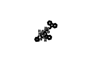 CC(Cc1c[nH]c2ccccc12)(NC(=O)OCC1c2ccccc2-c2ccccc21)C(=O)N[C@@H](Cc1ccccc1)C(N)=O